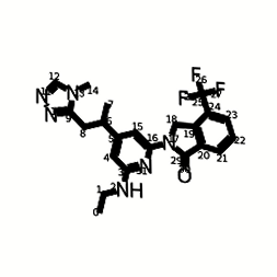 CCNc1cc(C(C)Cc2nncn2C)cc(N2Cc3c(cccc3C(F)(F)F)C2=O)n1